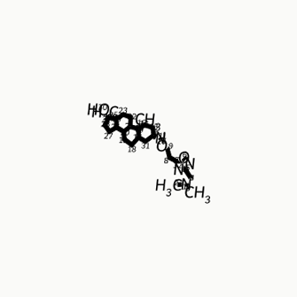 CN(C)Cc1noc(CCON=C2CC[C@@]3(C)C(CCC4C3CC[C@@]3(C)C4CC[C@@H]3O)C2)n1